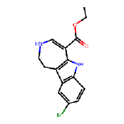 CCOC(=O)C1=CNCCc2c1[nH]c1ccc(Br)cc21